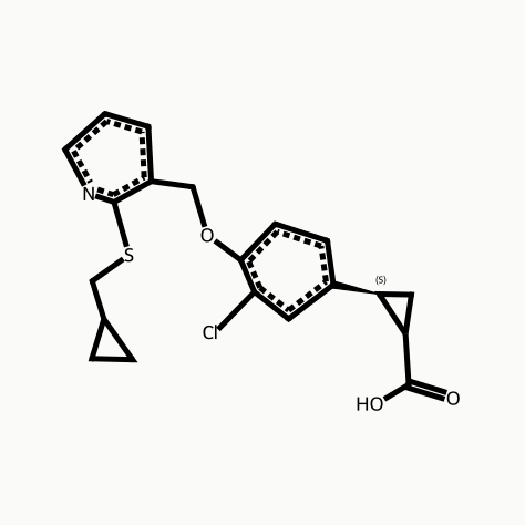 O=C(O)C1C[C@@H]1c1ccc(OCc2cccnc2SCC2CC2)c(Cl)c1